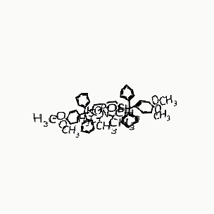 COC1(OC)C=CC(C(SCCP(O)(O)(CCSC(C2=CCC(OC)(OC)C=C2)(c2ccccc2)c2ccccc2)N(C(C)C)C(C)C)(c2ccccc2)c2ccccc2)=CC1